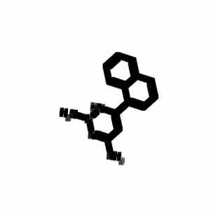 NC1=NN(N)NC(c2cccc3ccccc23)=C1